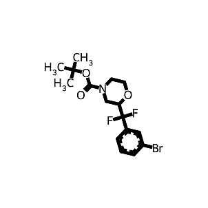 CC(C)(C)OC(=O)N1CCOC(C(F)(F)c2cccc(Br)c2)C1